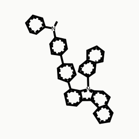 CN(c1ccccc1)c1ccc(-c2ccc(-c3cccc4c5c6ccccc6ccc5n(-c5ccc6ccccc6c5)c34)cc2)cc1